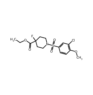 CCOC(=O)C1(F)CCN(S(=O)(=O)c2ccc(OC)c(Cl)c2)CC1